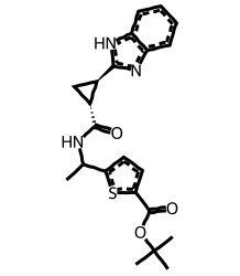 CC(NC(=O)[C@@H]1C[C@H]1c1nc2ccccc2[nH]1)c1ccc(C(=O)OC(C)(C)C)s1